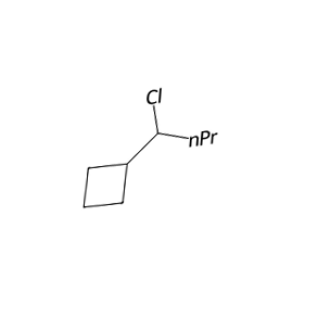 [CH2]CCC(Cl)C1CCC1